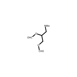 CNCC(COC=O)OC=O